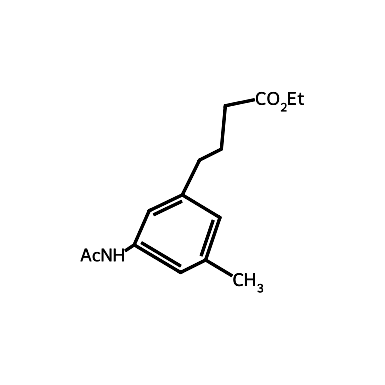 CCOC(=O)CCCc1cc(C)cc(NC(C)=O)c1